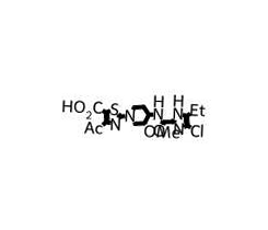 CCc1[nH]c(C(=O)NC2CCN(c3nc(C(C)=O)c(C(=O)O)s3)CC2OC)nc1Cl